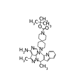 Cc1nn(C(C)c2cc3ccccn3c2CN2CCC3(CC2)CCN(C(=O)OC(C)(C)C)CC3)c2ncnc(N)c12